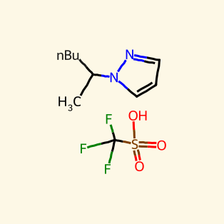 CCCCC(C)n1cccn1.O=S(=O)(O)C(F)(F)F